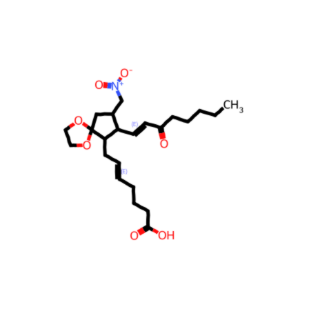 CCCCCC(=O)/C=C/C1C(C[N+](=O)[O-])CC2(OCCO2)C1C/C=C/CCCC(=O)O